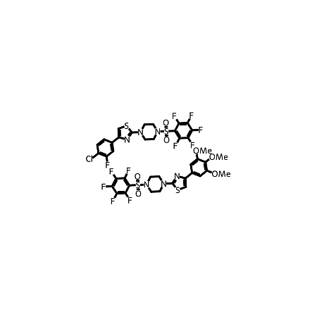 COc1cc(-c2csc(N3CCN(S(=O)(=O)c4c(F)c(F)c(F)c(F)c4F)CC3)n2)cc(OC)c1OC.O=S(=O)(c1c(F)c(F)c(F)c(F)c1F)N1CCN(c2nc(-c3ccc(Cl)c(F)c3)cs2)CC1